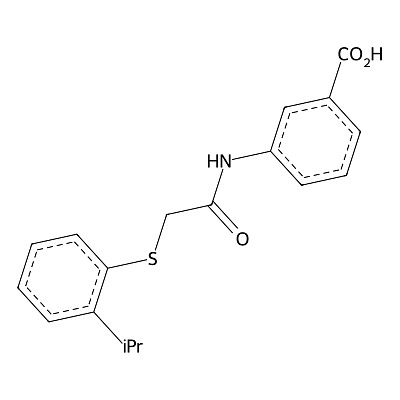 CC(C)c1ccccc1SCC(=O)Nc1cccc(C(=O)O)c1